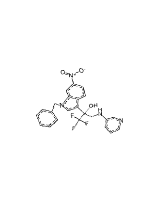 O=[N+]([O-])c1ccc2c(C(O)(CNc3cccnc3)C(F)(F)F)cn(Cc3ccccc3)c2c1